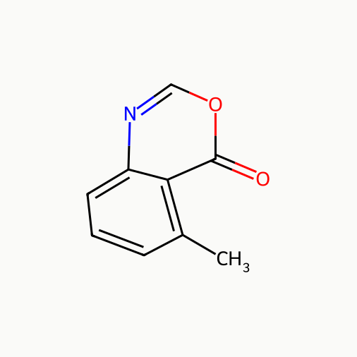 Cc1cccc2ncoc(=O)c12